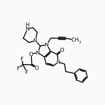 CC#CCN1c2c(ccn(CCc3ccccc3)c2=O)N(OC(=O)C(F)(F)F)C1N1CCNCC1